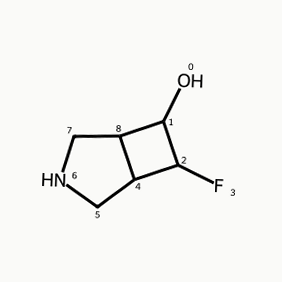 OC1C(F)C2CNCC12